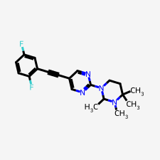 CC1N(c2ncc(C#Cc3cc(F)ccc3F)cn2)CCC(C)(C)N1C